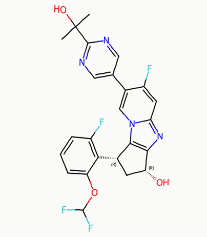 CC(C)(O)c1ncc(-c2cn3c4c(nc3cc2F)[C@H](O)C[C@@H]4c2c(F)cccc2OC(F)F)cn1